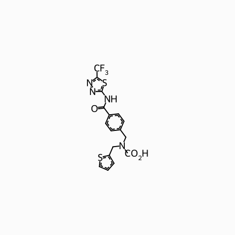 O=C(Nc1nnc(C(F)(F)F)s1)c1ccc(CN(Cc2cccs2)C(=O)O)cc1